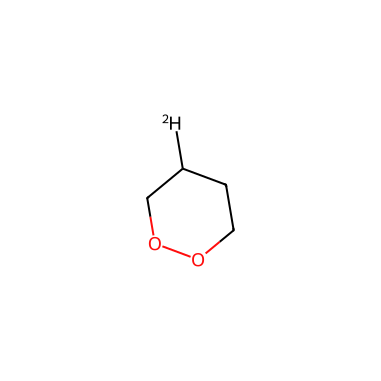 [2H]C1CCOOC1